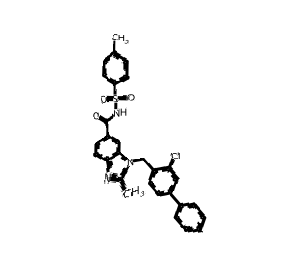 Cc1ccc(S(=O)(=O)NC(=O)c2ccc3nc(C)n(Cc4ccc(-c5ccccc5)cc4Cl)c3c2)cc1